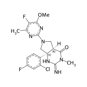 COc1nc(N2C[C@H]3C(=O)N(C)C(=N)N[C@@]3(c3ccc(F)cc3Cl)C2)nc(C)c1F